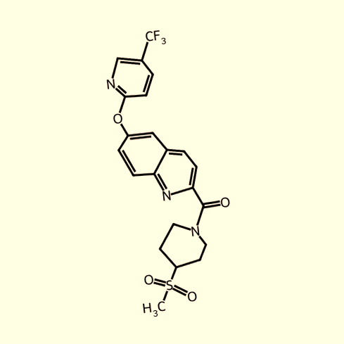 CS(=O)(=O)C1CCN(C(=O)c2ccc3cc(Oc4ccc(C(F)(F)F)cn4)ccc3n2)CC1